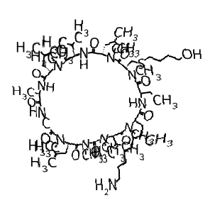 CCC1NC(=O)C(C[C@H](C)CCCCCCN)N(C)C(=O)C(C(C)C)N(C)C(=O)N(C)C(=O)[C@@H](CC(C)C)N(C)C(=O)CNC(=O)[C@@H](C)NC(=O)[C@@H](CC(C)C)N(C)C(=O)[C@@H](C(C)C)NC(=O)[C@H](CC(C)C)N(C)C(=O)[C@@H](CSCCCCO)N(C)C1=O